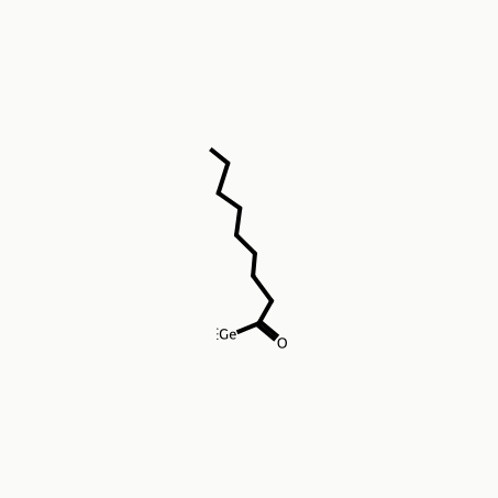 CCCCCCCC[C](=O)[Ge]